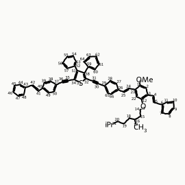 COc1cc(C=Cc2ccccc2)c(OCCC(C)CCCC(C)C)cc1C=Cc1ccc(C#Cc2sc(C#Cc3ccc(C=Cc4ccccc4)cc3)c(-c3ccccc3)c2-c2ccccc2)cc1